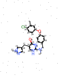 Cc1cc(Oc2ccc(CN(C)c3nc(=O)c(Cc4cnn(C)c4)c[nH]3)cc2)ccc1Cl